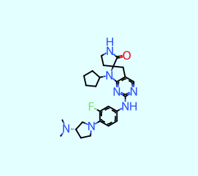 CN(C)[C@H]1CCN(c2ccc(Nc3ncc4c(n3)N(C3CCCC3)C3(CCNC3=O)C4)cc2F)C1